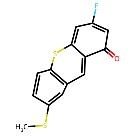 CSc1ccc2sc3cc(F)cc(=O)c-3cc2c1